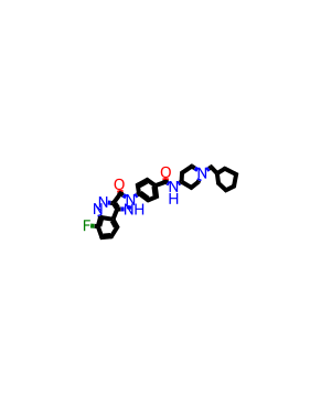 O=C(NC1CCN(CC2CCCCC2)CC1)c1ccc(-n2[nH]c3c(nnc4c(F)cccc43)c2=O)cc1